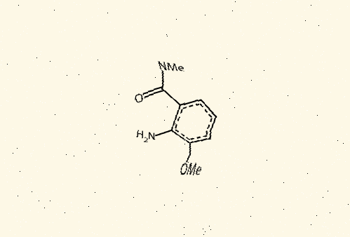 CNC(=O)c1cccc(OC)c1N